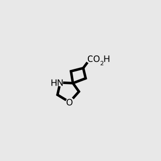 O=C(O)C1CC2(COCN2)C1